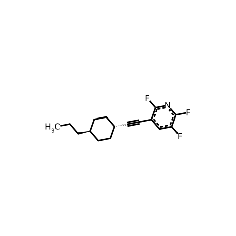 CCC[C@H]1CC[C@H](C#Cc2cc(F)c(F)nc2F)CC1